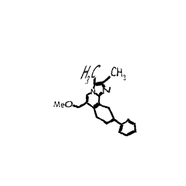 COCc1cn2c(C)c(C)nc2c2c1CCC(c1ccccc1)C2